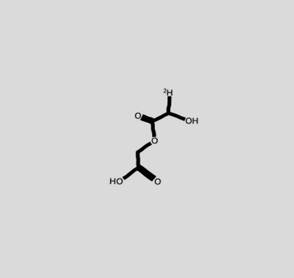 [2H]C(O)C(=O)OCC(=O)O